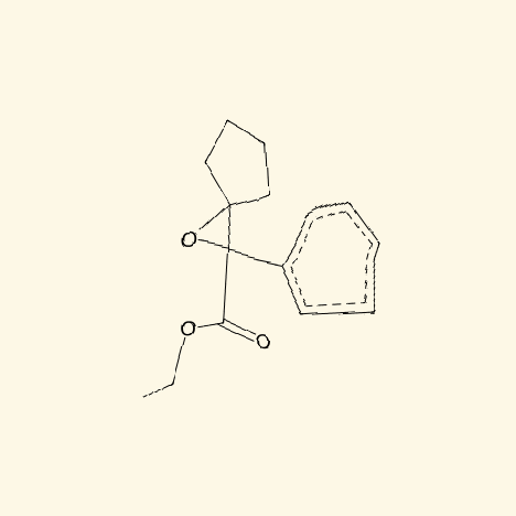 CCOC(=O)C1(c2ccccc2)OC12CCCC2